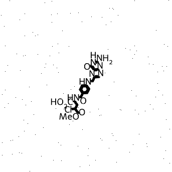 COC(=O)C(Cl)C[C@H](NC(=O)c1ccc(NCc2cnc3nc(N)[nH]c(=O)c3n2)cc1)C(=O)O